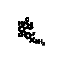 CC(C)(CN)c1ccc(-c2c(O)ccc3[nH]c(=O)c4sccc4c23)cc1F